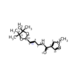 Cn1cc(C(=O)NC/C=C/B2OC(C)(C)C(C)(C)O2)cn1